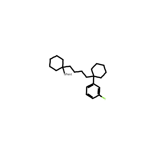 CCCCCC1(CCCCC2(c3cccc(F)c3)CCCCC2)CCCCC1